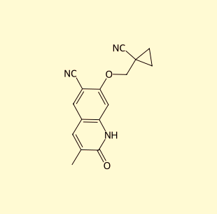 Cc1cc2cc(C#N)c(OCC3(C#N)CC3)cc2[nH]c1=O